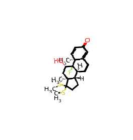 CSC1(SC)CC[C@H]2[C@@H]3CCC4=CC(=O)C=C[C@]4(C)[C@@]3(F)[C@@H](O)C[C@@]21C